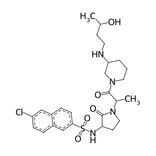 CC(O)CCNC1CCCN(C(=O)C(C)N2CCC(NS(=O)(=O)c3ccc4cc(Cl)ccc4c3)C2=O)C1